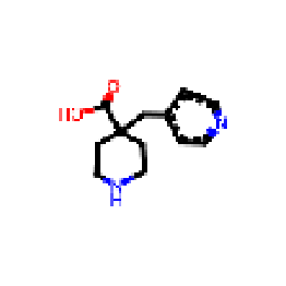 O=C(O)C1(Cc2ccncc2)CCNCC1